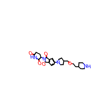 O=C1CCC(N2C(=O)c3ccc(N4CCC(COCCC5CCNCC5)CC4)cc3C2=O)C(=O)N1